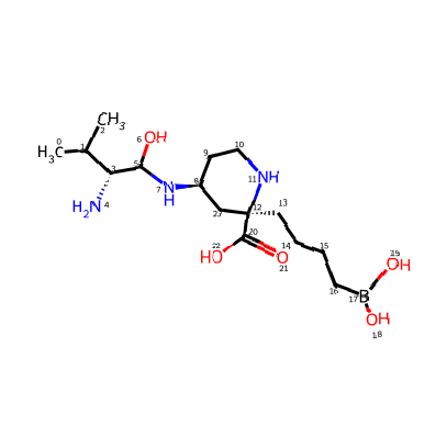 CC(C)[C@@H](N)C(O)N[C@H]1CCN[C@@](CCCCB(O)O)(C(=O)O)C1